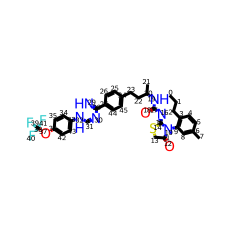 CCCc1ccc(C)cc1N1C(=O)CS/C1=N\C(=O)NC(C)CCc1ccc(C(=N)/N=C\Nc2ccc(OC(F)(F)F)cc2)cc1